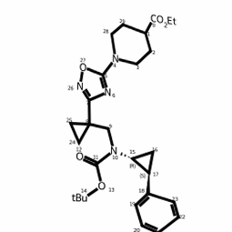 CCOC(=O)C1CCN(c2nc(C3(CN(C(=O)OC(C)(C)C)[C@@H]4C[C@H]4c4ccccc4)CC3)no2)CC1